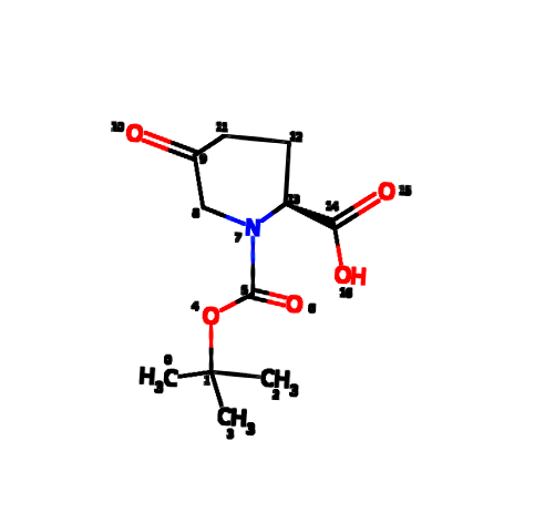 CC(C)(C)OC(=O)N1CC(=O)CC[C@H]1C(=O)O